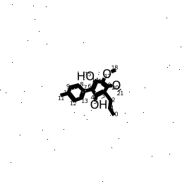 CCCc1c(O)c(-c2ccc(C)cc2)c(O)c(OC)c1OC